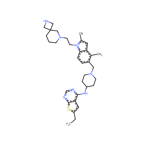 Cc1c(CN2CCC(Nc3ncnc4sc(CC(F)(F)F)cc34)CC2)ccc2c1cc(C#N)n2CCN1CCCC2(CNC2)C1